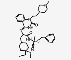 CCC1(CC)CCC(CC(N=c2[nH]c(=O)n(CCC3CCN(C)CC3)c3ccccc23)C(=O)NC(C)(C#N)SCc2ccccc2)CC1